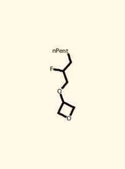 CCCCCCC(F)COC1COC1